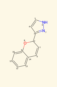 C1=CC(c2cc[nH]n2)Oc2ccccc21